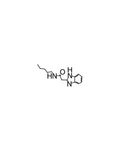 CCCCCNC(=O)Cc1nc2ccccc2[nH]1